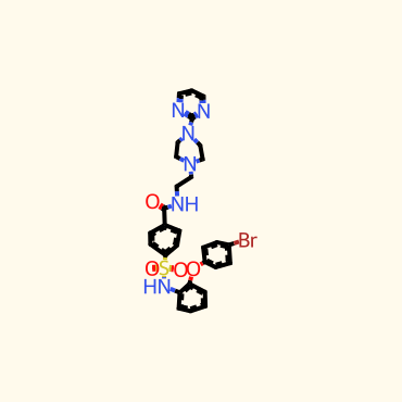 O=C(NCCN1CCN(c2ncccn2)CC1)c1ccc(S(=O)(=O)Nc2ccccc2Oc2ccc(Br)cc2)cc1